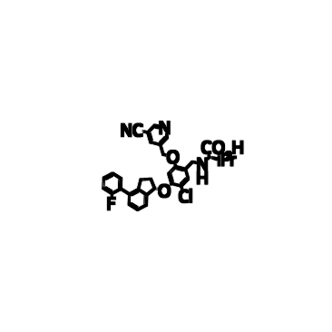 CC(C)[C@@H](NCc1cc(Cl)c(O[C@H]2CCc3c(-c4ccccc4F)cccc32)cc1OCc1cncc(C#N)c1)C(=O)O